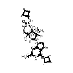 C[C@@]1(F)[C@@H]2OP(=O)(OC3CCC3)OC[C@H]2O[C@H]1n1cnc2c(N3CCC3)nc(N)nc21